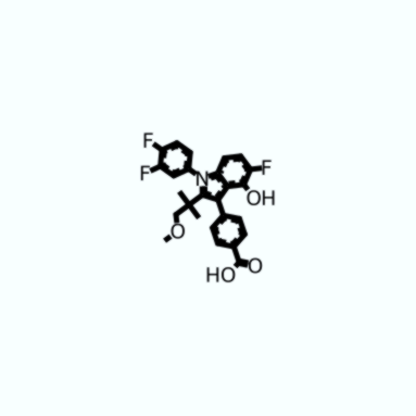 COCC(C)(C)c1c(-c2ccc(C(=O)O)cc2)c2c(O)c(F)ccc2n1-c1ccc(F)c(F)c1